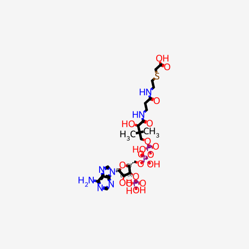 CC(C)(COP(=O)(O)OP(=O)(O)OC[C@H]1O[C@@H](n2cnc3c(N)ncnc32)[C@H](O)[C@@H]1OP(=O)(O)O)C(O)C(=O)NCCC(=O)NCCSCC(=O)O